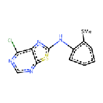 CSc1ccccc1Nc1nc2c(Cl)ncnc2s1